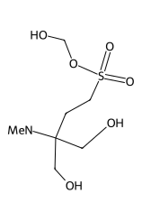 CNC(CO)(CO)CCS(=O)(=O)OCO